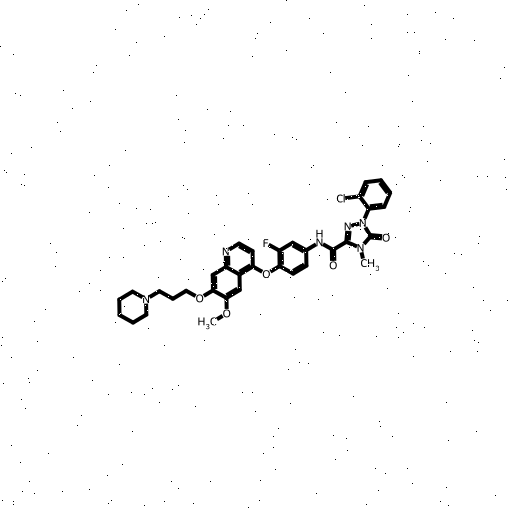 COc1cc2c(Oc3ccc(NC(=O)c4nn(-c5ccccc5Cl)c(=O)n4C)cc3F)ccnc2cc1OCCCN1CCCCC1